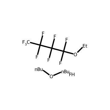 CCCCOCCCC.CCOC(F)(F)C(F)(F)C(F)(F)C(F)(F)F.F